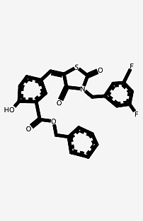 O=C(OCc1ccccc1)c1cc(C=C2SC(=O)N(Cc3cc(F)cc(F)c3)C2=O)ccc1O